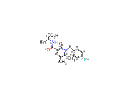 Cc1cc(C(=O)N[C@H](C(=O)O)C(C)C)c(=O)n(Cc2ccc(F)cc2)c1C